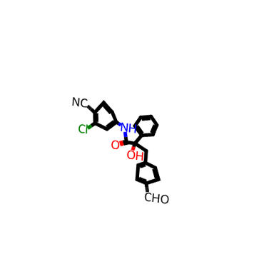 N#Cc1ccc(NC(=O)C(O)(Cc2ccc(C=O)cc2)c2ccccc2)cc1Cl